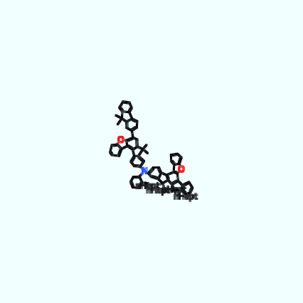 CCCCCCCC1(CCCCCCC)c2ccccc2-c2c1c1c(c3c2oc2ccccc23)-c2ccc(N(c3ccc4c(c3)C(C)(C)c3cc(-c5ccc6c(c5)C(C)(C)c5ccccc5-6)c5oc6ccccc6c5c3-4)c3ccccc3C)cc2C1(CCCCCCC)CCCCCCC